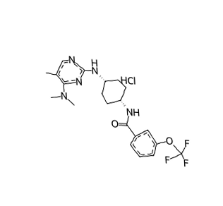 Cc1cnc(N[C@H]2CC[C@@H](NC(=O)c3cccc(OC(F)(F)F)c3)CC2)nc1N(C)C.Cl